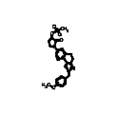 COc1ccc(Cn2cc3c(n2)CCc2cc(N4CCC(OS(C)(=O)=O)C4=O)ccc2-3)cc1